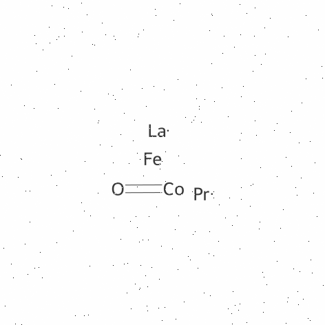 [Fe].[La].[O]=[Co].[Pr]